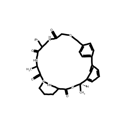 CC1NC(=O)C(C(C)C)NC(=O)COc2ccc(cc2)-c2cccc(c2)[C@@H](C)OC(=O)C2CCCN(N2)C1=O